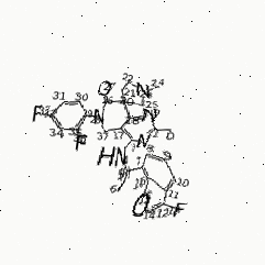 Cc1nc(N[C@H](C)c2cccc3c(F)coc23)c2c(n1)C1(CCN(C)C1)C(=O)N(c1ccc(F)cc1F)C2